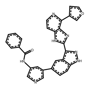 O=C(Nc1cncc(-c2ccc3[nH]nc(-c4nc5c(-c6ccoc6)nccc5[nH]4)c3c2)c1)c1ccccc1